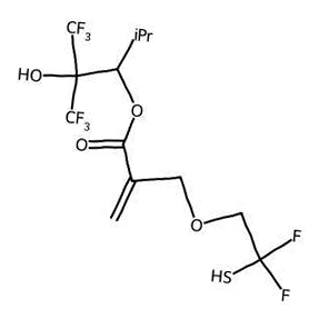 C=C(COCC(F)(F)S)C(=O)OC(C(C)C)C(O)(C(F)(F)F)C(F)(F)F